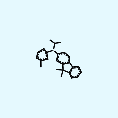 Cc1cccc(N(c2ccc3c(c2)C(C)(C)c2ccccc2-3)C(C)C)c1